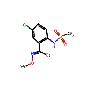 CCCO/N=C(\CC)c1cc(Cl)ccc1NS(=O)(=O)C(F)(F)F